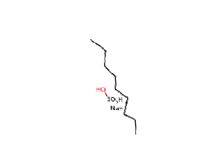 CCCCCCCCC.O=S(=O)(O)O.[NaH]